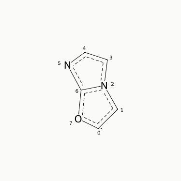 [c]1cn2ccnc2o1